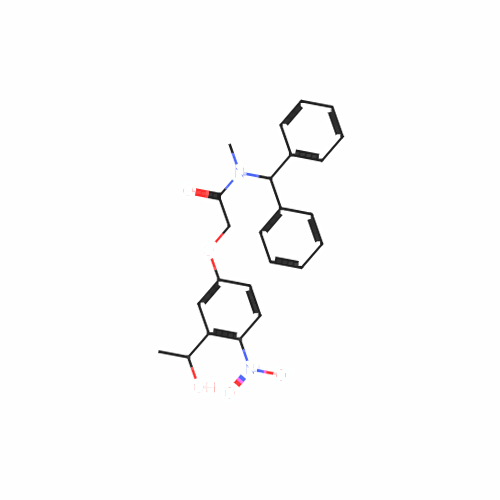 CC(O)c1cc(OCC(=O)N(C)C(c2ccccc2)c2ccccc2)ccc1[N+](=O)[O-]